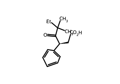 CCC(C)(C)C(=O)[C@@H](CC(=O)O)c1ccccc1